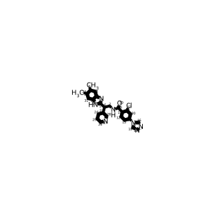 Cc1cc2nc(C(CNC(=O)c3ccc(-n4cnnc4)cc3Cl)c3cccnc3)[nH]c2cc1C